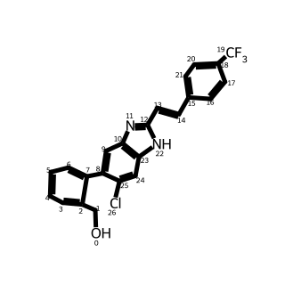 OCc1ccccc1-c1cc2nc(C=Cc3ccc(C(F)(F)F)cc3)[nH]c2cc1Cl